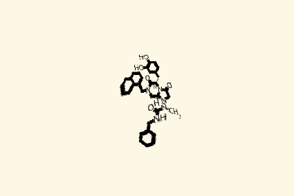 CN(C(=O)NCC1=CCCC=C1)N1CC(=O)N2[C@@H](Cc3ccc(O)c(O)c3)C(=O)N(Cc3cccc4ccccc34)C[C@@H]21